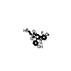 CNCCN1C(=O)N2[C@H](c3cccc(O)c3)c3[nH]c4ccc(OC)c(F)c4c3C[C@@]2(C)C1=O